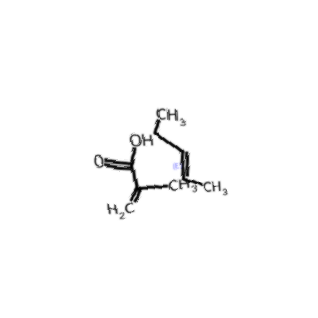 C/C=C/CC.C=C(C)C(=O)O